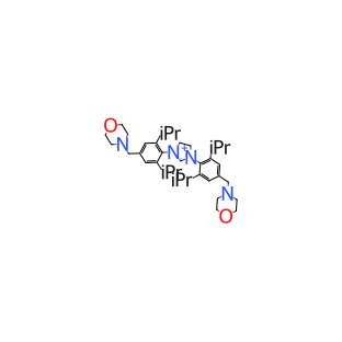 CC(C)c1cc(CN2CCOCC2)cc(C(C)C)c1N1C=[N+](c2c(C(C)C)cc(CN3CCOCC3)cc2C(C)C)CC1